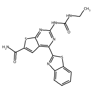 CCNC(=O)Nc1nc(-c2nc3ccccc3s2)c2cc(C(N)=O)sc2n1